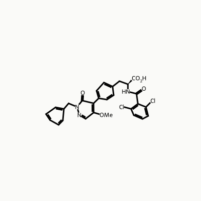 COc1cnn(Cc2ccccc2)c(=O)c1-c1ccc(C[C@H](NC(=O)c2c(Cl)cccc2Cl)C(=O)O)cc1